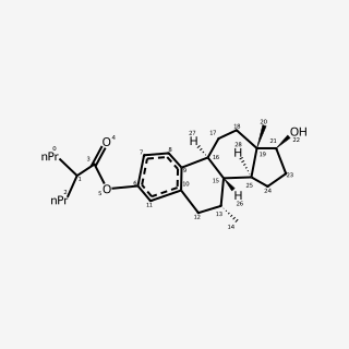 CCCC(CCC)C(=O)Oc1ccc2c(c1)C[C@@H](C)[C@@H]1[C@@H]2CC[C@]2(C)[C@@H](O)CC[C@@H]12